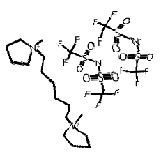 C[N+]1(CCCCCC[N+]2(C)CCCC2)CCCC1.O=S(=O)([N-]S(=O)(=O)C(F)(F)F)C(F)(F)F.O=S(=O)([N-]S(=O)(=O)C(F)(F)F)C(F)(F)F